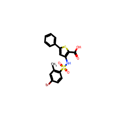 Cc1cc(Br)ccc1S(=O)(=O)Nc1cc(-c2ccccc2)sc1C(=O)O